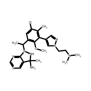 COc1c(C(C)N2NC(C)(N)c3cncnc32)cc(Cl)c(C)c1-c1cnn(CCN(C)C)c1